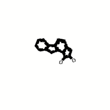 O=c1cc2ccc3c4ccccc4cc3c2c1=O